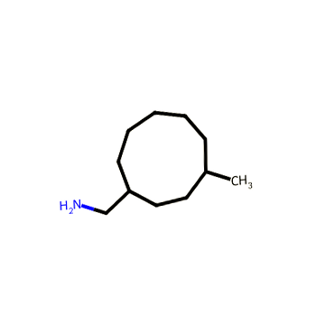 CC1CCCCCC(CN)CC1